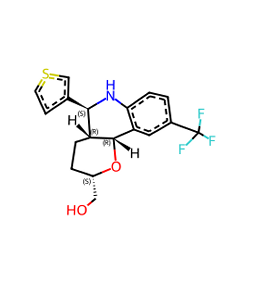 OC[C@@H]1CC[C@@H]2[C@@H](c3ccsc3)Nc3ccc(C(F)(F)F)cc3[C@@H]2O1